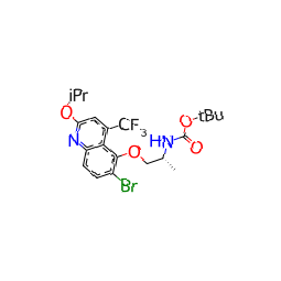 CC(C)Oc1cc(C(F)(F)F)c2c(OC[C@@H](C)NC(=O)OC(C)(C)C)c(Br)ccc2n1